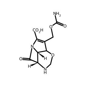 NC(=O)OCC1=C(C(=O)O)N2C(=O)[C@H]3NCOC1[C@H]32